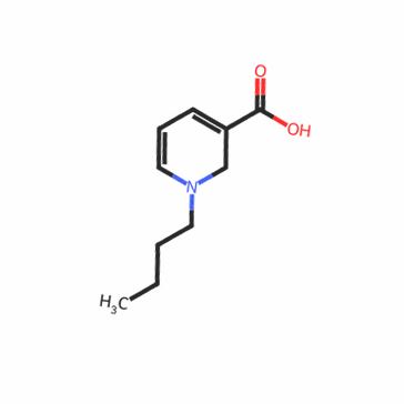 CCCCN1C=CC=C(C(=O)O)C1